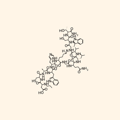 CCCN[C@@H](CC(=O)O)C(=O)NC(CS)C(=O)N[C@@H](C)C(=O)NC(Cc1c[nH]c2ccccc12)C(=O)N[C@@H](Cc1cnc[nH]1)C(=O)NC(CCCCN)C(=O)NCC(=O)NC(CCC(N)=O)C(=O)N[C@@H](CC(C)C)C(=O)NC(C(=O)N[C@@H](Cc1c[nH]c2ccccc12)C(=O)NC(CS)C(=O)N[C@H](C(N)=O)[C@@H](C)O)C(C)C